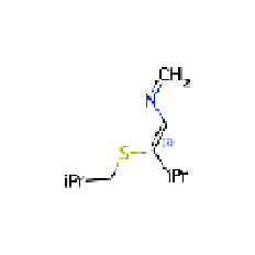 C=N/C=C(\SCC(C)C)C(C)C